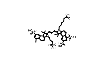 Cc1cc(S(=O)(=O)O)cc2c3c(ccc12)[N+](CCCS(=O)(=O)O)=C(/C=C/C=C1/N(CCCCCC(=O)O)c2ccc4c(S(=O)(=O)O)cc(S(=O)(=O)O)cc4c2C1(C)C)C3(C)C